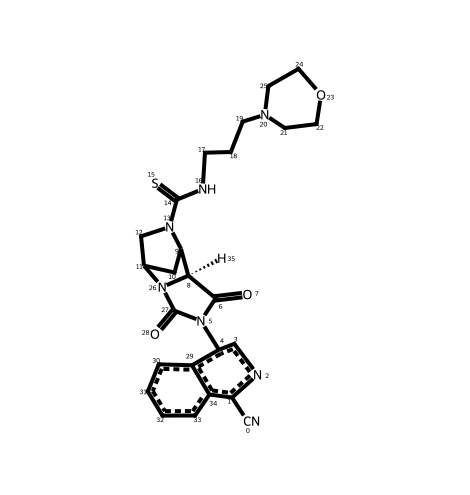 N#Cc1ncc(N2C(=O)[C@@H]3C4CC(CN4C(=S)NCCCN4CCOCC4)N3C2=O)c2ccccc12